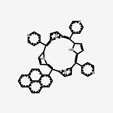 C1=CC2N/C1=C(/c1ccncc1)c1ccc([nH]1)/C(c1ccc3ccc4cccc5ccc1c3c45)=C1/C=CC(N1)/C(c1ccncc1)=c1/cc/c([nH]1)=C/2c1ccncc1